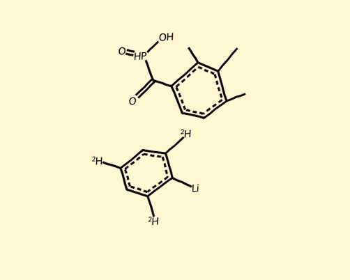 Cc1ccc(C(=O)[PH](=O)O)c(C)c1C.[2H]c1cc([2H])[c]([Li])c([2H])c1